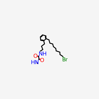 CNC(=O)C(=O)NCCCCc1ccccc1CCCCCCCCCBr